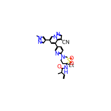 C=CC(C)C(=O)NC1(CC)CCN(c2ccc(-c3cc(-c4cnn(C)c4)cn4ncc(C#N)c34)cn2)CS1(=O)=O